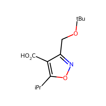 CC(C)c1onc(COC(C)(C)C)c1C(=O)O